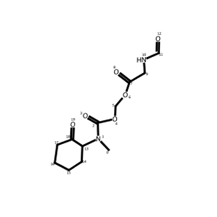 CN(C(=O)OCOC(=O)CNC=O)C1CCCCC1=O